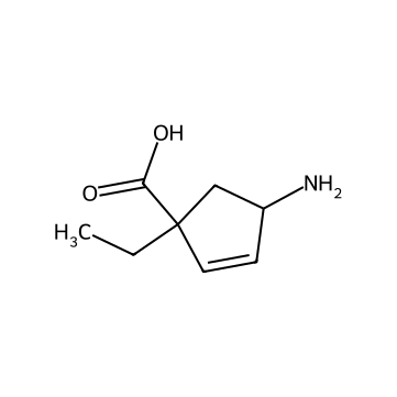 CCC1(C(=O)O)C=CC(N)C1